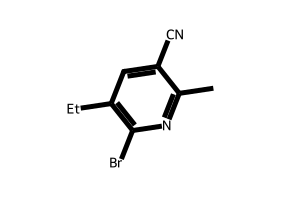 CCc1cc(C#N)c(C)nc1Br